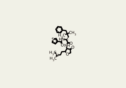 CN(C)CCC1OCC(=O)C1NC(=O)[C@H](CC(C)(C)Cc1ccccc1)NC(=O)c1ccsc1